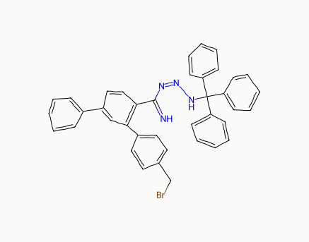 N=C(/N=N\NC(c1ccccc1)(c1ccccc1)c1ccccc1)c1ccc(-c2ccccc2)cc1-c1ccc(CBr)cc1